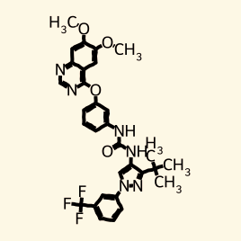 COc1cc2ncnc(Oc3cccc(NC(=O)Nc4cn(-c5cccc(C(F)(F)F)c5)nc4C(C)(C)C)c3)c2cc1OC